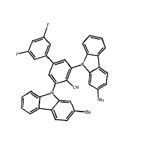 CC(C)(C)c1ccc2c3ccccc3n(-c3cc(-c4cc(F)cc(F)c4)cc(-n4c5ccccc5c5ccc(C(C)(C)C)cc54)c3C#N)c2c1